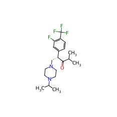 CC(C)C(=O)[C@H](CN1CCN(C(C)C)CC1)c1ccc(C(F)(F)F)c(F)c1